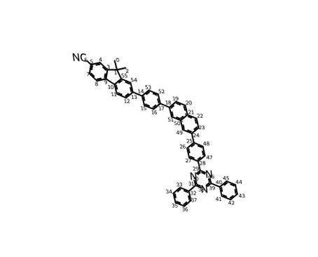 CC1(C)c2cc(C#N)ccc2-c2ccc(-c3ccc(-c4ccc5ccc(-c6ccc(-c7nc(-c8ccccc8)nc(-c8ccccc8)n7)cc6)cc5c4)cc3)cc21